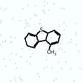 CC1=CC=CC2SC3=CCCC=C3C12